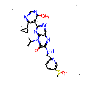 CC(C)n1c(=O)c(NCc2ccc([S+](C)[O-])cn2)nc2cnc(-c3c(O)ncnc3C3CC3)nc21